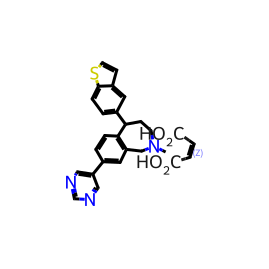 CN1CCC(c2ccc3sccc3c2)c2ccc(-c3cncnc3)cc2C1.O=C(O)/C=C\C(=O)O